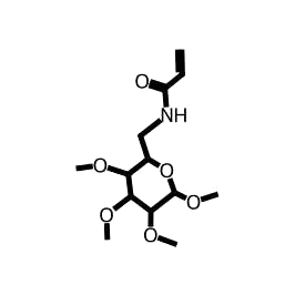 C=CC(=O)NCC1OC(OC)C(OC)C(OC)C1OC